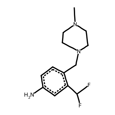 CN1CCN(Cc2ccc(N)cc2C(F)F)CC1